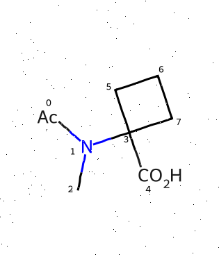 CC(=O)N(C)C1(C(=O)O)CCC1